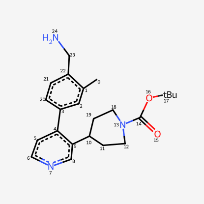 Cc1cc(-c2ccncc2C2CCN(C(=O)OC(C)(C)C)CC2)ccc1CN